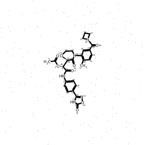 CC(=O)O[C@@H](C(=O)Nc1ccc(-c2noc(=O)[nH]2)cc1)[C@H]1OCCN(c2cc(C(=O)N3CCC3)ccc2C)C1=O